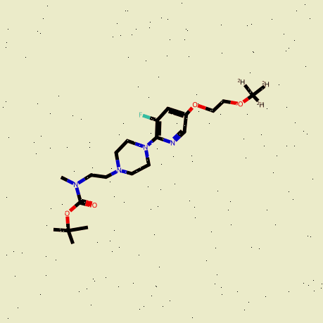 [2H]C([2H])([2H])OCCOc1cnc(N2CCN(CCN(C)C(=O)OC(C)(C)C)CC2)c(F)c1